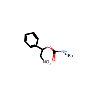 CC(C)(C)NC(=O)OC(C[N+](=O)[O-])c1ccccc1